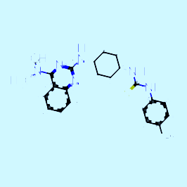 CC(C)c1ccc(NC(=S)N[C@H]2CC[C@@H](Nc3nc(N(C)C)c4ccccc4n3)CC2)cc1